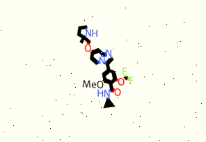 COc1cc(-c2cnc3cc(OCC4(C)CCCN4)ccn23)cc(OC(F)F)c1C(=O)NC1CC1